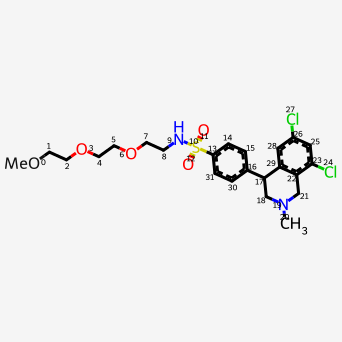 COCCOCCOCCNS(=O)(=O)c1ccc(C2CN(C)Cc3c(Cl)cc(Cl)cc32)cc1